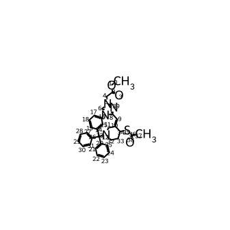 COC(=O)Cn1cnc(/C=C2\CN(C(c3ccccc3)(c3ccccc3)c3ccccc3)CCC2SC(C)=O)n1